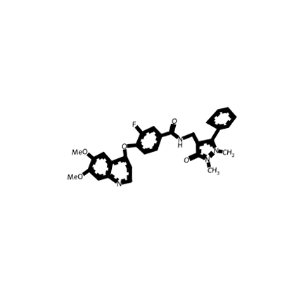 COc1cc2nccc(Oc3ccc(C(=O)NCc4c(-c5ccccc5)n(C)n(C)c4=O)cc3F)c2cc1OC